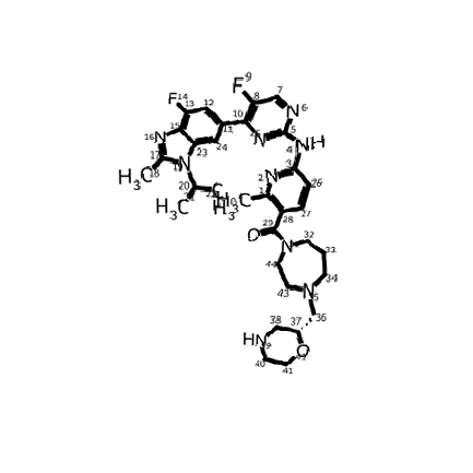 Cc1nc(Nc2ncc(F)c(-c3cc(F)c4nc(C)n(C(C)C)c4c3)n2)ccc1C(=O)N1CCCN(C[C@H]2CNCCO2)CC1